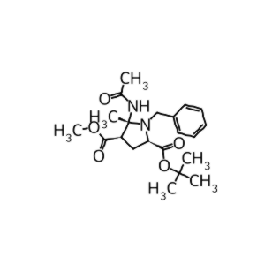 COC(=O)[C@@H]1C[C@H](C(=O)OC(C)(C)C)N(Cc2ccccc2)[C@@]1(C)NC(C)=O